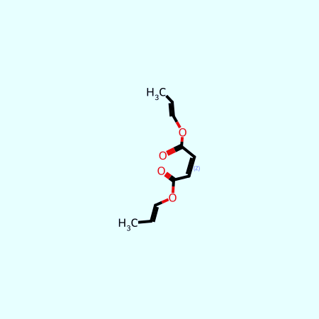 CC=COC(=O)/C=C\C(=O)OC=CC